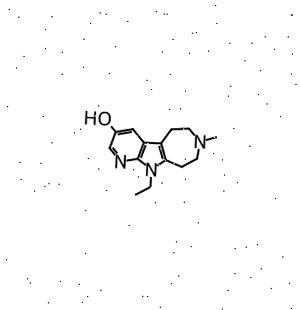 CCn1c2c(c3cc(O)cnc31)CCN(C)CC2